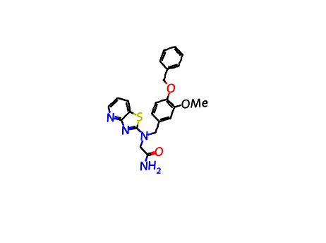 COc1cc(CN(CC(N)=O)c2nc3ncccc3s2)ccc1OCc1ccccc1